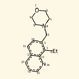 CCc1c(CN2CCOCC2)ccc2cccnc12